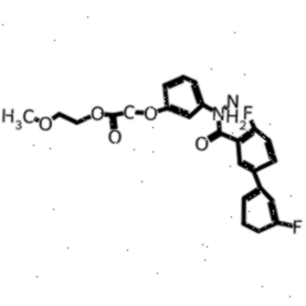 COCCOC(=O)COc1cccc(N(N)C(=O)c2cc(C3=CCCC(F)=C3)ccc2F)c1